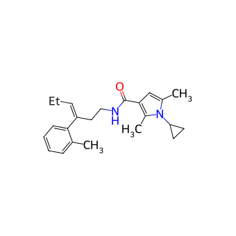 CC/C=C(/CCNC(=O)c1cc(C)n(C2CC2)c1C)c1ccccc1C